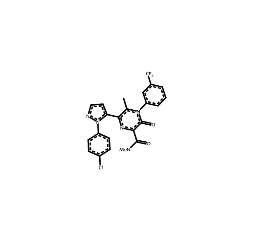 CNC(=O)c1nc(-c2ccnn2-c2ccc(Cl)cc2)c(C)n(-c2cccc(C(F)(F)F)c2)c1=O